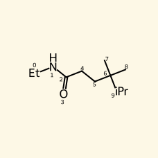 CCNC(=O)CCC(C)(C)C(C)C